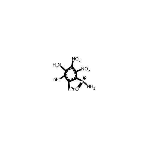 CCCc1c(N)c([N+](=O)[O-])c([N+](=O)[O-])c(S(N)(=O)=O)c1CCC